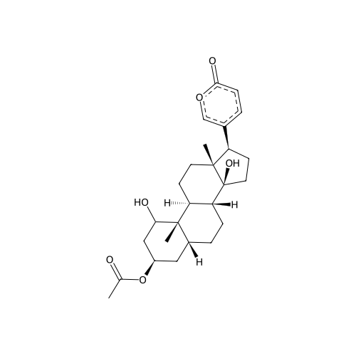 CC(=O)O[C@H]1CC(O)[C@@]2(C)[C@H](CC[C@@H]3[C@@H]2CC[C@]2(C)[C@@H](c4ccc(=O)oc4)CC[C@]32O)C1